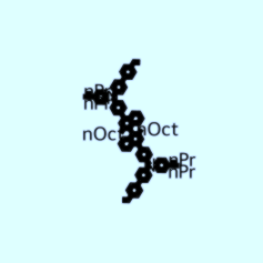 C=Cc1ccc(-c2ccc(N(c3ccc(-c4cc(CCCCCCCC)c(-c5c(CCCCCCCC)cc(-c6ccc(N(c7ccc(-c8ccc(C=C)cc8)cc7)c7ccc(C(C)(CCC)CCC)cc7)cc6)c6ccccc56)c5ccccc45)cc3)c3ccc(C(C)(CCC)CCC)cc3)cc2)cc1